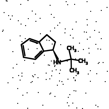 CC(C)(C)N[C@@H]1CCc2ccccc21